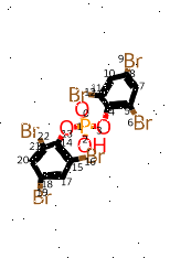 O=P(O)(Oc1c(Br)cc(Br)cc1Br)Oc1c(Br)cc(Br)cc1Br